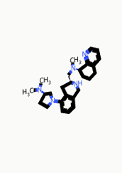 CN(C)[C@@H]1CCN(c2cccc3c2C[C@H](CN(C)[C@H]2CCCc4cccnc42)NC3)C1